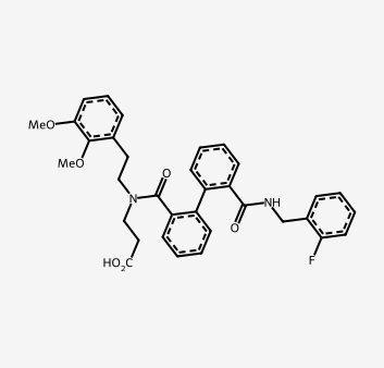 COc1cccc(CCN(CCC(=O)O)C(=O)c2ccccc2-c2ccccc2C(=O)NCc2ccccc2F)c1OC